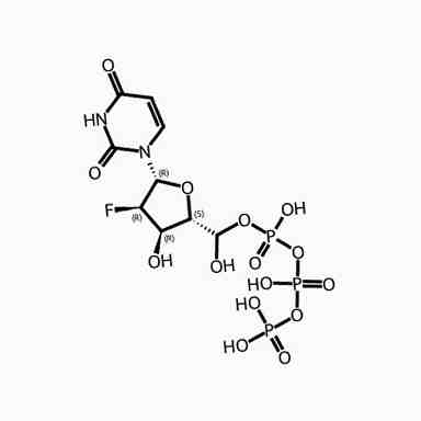 O=c1ccn([C@@H]2O[C@H](C(O)OP(=O)(O)OP(=O)(O)OP(=O)(O)O)[C@@H](O)[C@H]2F)c(=O)[nH]1